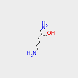 NCCCCC(CN)CO